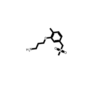 Cc1ccc(CS(C)(=O)=O)cc1OCCCN